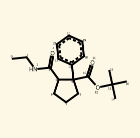 CCNC(=O)C1CCCC1(C(=O)OC(C)(C)C)c1ccccc1